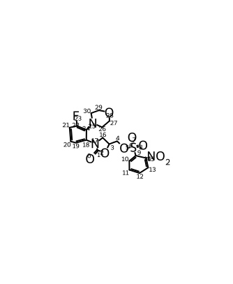 O=C1OC(COS(=O)(=O)c2ccccc2[N+](=O)[O-])CN1c1cccc(F)c1N1CCOCC1